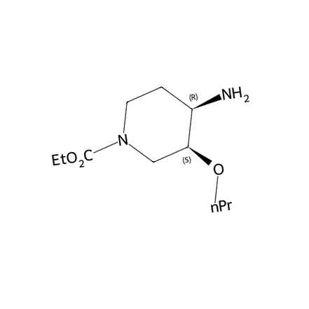 CCCO[C@H]1CN(C(=O)OCC)CC[C@H]1N